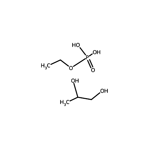 CC(O)CO.CCOP(=O)(O)O